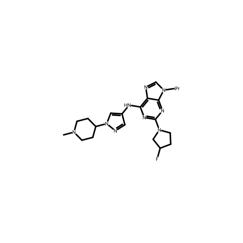 CC(C)n1cnc2c(Nc3cnn(C4CCN(C)CC4)c3)nc(N3CCC(F)C3)nc21